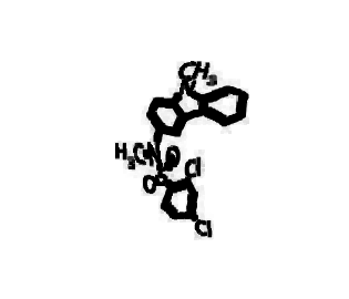 CN(c1ccc2c(c1)c1ccccc1n2C)S(=O)(=O)c1ccc(Cl)cc1Cl